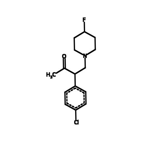 CC(=O)C(CN1CCC(F)CC1)c1ccc(Cl)cc1